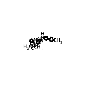 CN1CCC(c2ccc(Nc3nc4c(Nc5ccccc5CN(C)S(C)(=O)=O)cccn4n3)cc2)CC1